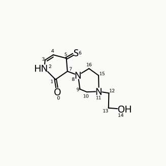 O=C1NC=CC(=S)C1N1CCN(CCO)CC1